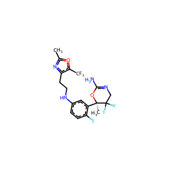 Cc1nc(CCNc2ccc(F)c([C@@]3(C)OC(N)=NCC3(F)F)c2)c(C(F)(F)F)o1